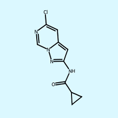 O=C(Nc1cc2cc(Cl)ncn2n1)C1CC1